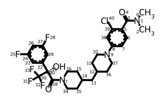 CN(C)C(=O)c1ccc(N2CCC(CC3CCN(C(=O)[C@](O)(c4cc(F)cc(F)c4)C(F)(F)F)CC3)CC2)cc1Cl